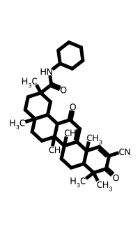 CC1(C(=O)NC2CCCCC2)CCC2(C)CCC3(C)C(C(=O)C=C4C5(C)C=C(C#N)C(=O)C(C)(C)C5CCC43C)C2C1